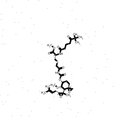 COC(=O)[C@@H](CSCC(=O)NC(=O)O[C@@H]1CC[C@]2(CO2)[C@@H](C2(C)O[C@@H]2CC=C(C)C)[C@@H]1OC)NC(=O)CCCC(=O)C(C)(C)C